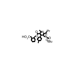 Cc1ccc(-c2c(CNC(=O)OC(C)(C)C)c(CC(C)C)nc(C)c2C(=O)OCc2ccccc2CC(=O)O)cc1